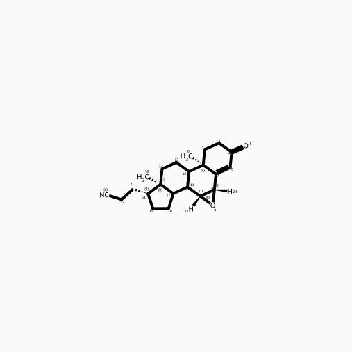 C[C@]12CCC(=O)C=C1[C@@H]1O[C@@H]1C1C2CC[C@@]2(C)C1CC[C@@H]2CCC#N